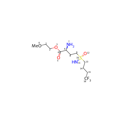 COCCOC(=O)[C@@H](N)CCS(=N)(=O)CCCC(F)(F)F